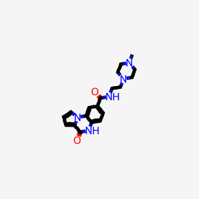 CN1CCN(CCNC(=O)c2ccc3[nH]c(=O)c4cccn4c3c2)CC1